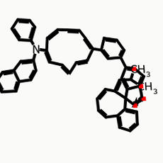 CC(C)/C=C1/C=C\C=C/c2ccccc2C12c1ccccc1-c1ccc(-c3cccc(C4=C/C=C\C=C/C(N(c5ccccc5)c5ccc6ccccc6c5)=C\C=C\C=C\4)c3)cc12